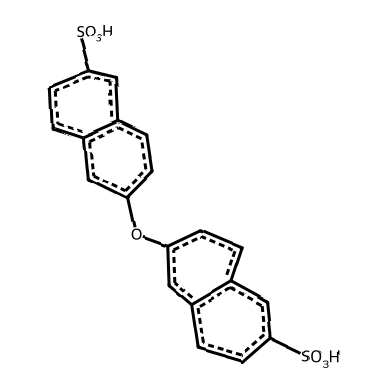 O=S(=O)(O)c1ccc2cc(Oc3ccc4cc(S(=O)(=O)O)ccc4c3)ccc2c1